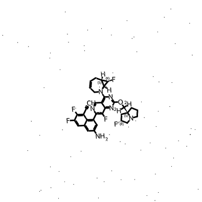 [2H]C([2H])(Oc1nc(N2CC=CC[C@@H]3[C@@H](F)[C@@H]32)c2cnc(-c3cc(N)cc4cc(F)c(F)c(C#C)c34)c(F)c2n1)[C@@]12CCCN1C[C@H](F)C2